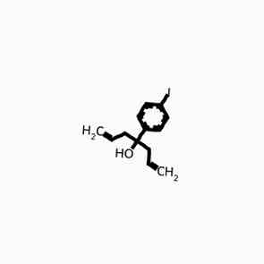 C=CCC(O)(CC=C)c1ccc(I)cc1